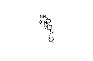 NC(=O)Cn1cnc2cc(OCc3ccc(F)cc3)ccc2c1=O